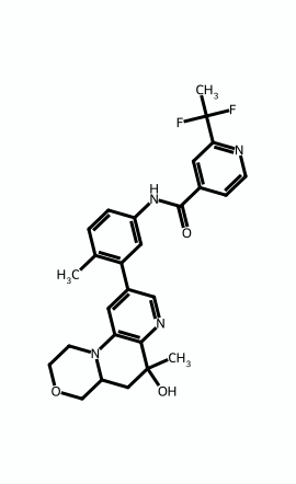 Cc1ccc(NC(=O)c2ccnc(C(C)(F)F)c2)cc1-c1cnc2c(c1)N1CCOCC1CC2(C)O